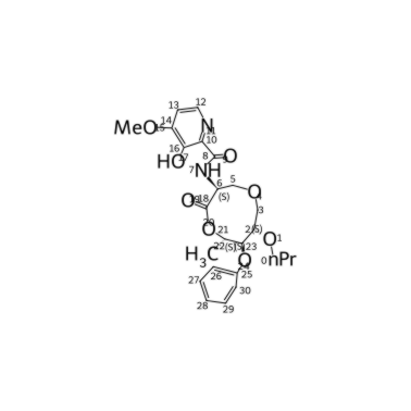 CCCO[C@H]1COC[C@H](NC(=O)c2nccc(OC)c2O)C(=O)O[C@@H](C)[C@@H]1Oc1ccccc1